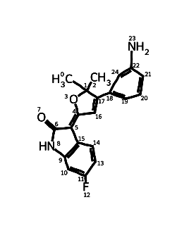 CC1(C)OC(=C2C(=O)Nc3cc(F)ccc32)C=C1c1cccc(N)c1